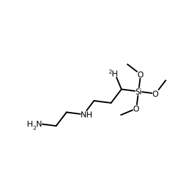 [2H]C(CCNCCN)[Si](OC)(OC)OC